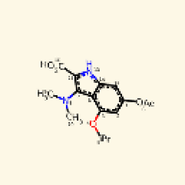 CC(=O)Oc1cc(OC(C)C)c2c(N(C)C)c(C(=O)O)[nH]c2c1